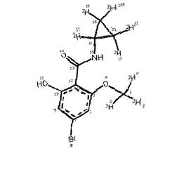 [2H]C([2H])([2H])Oc1cc(Br)cc(O)c1C(=O)NC1([2H])C([2H])([2H])C1([2H])[2H]